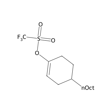 CCCCCCCCC1CC=C(OS(=O)(=O)C(F)(F)F)CC1